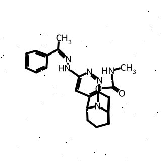 CNC(=O)ON1C2CCCC1c1cc(NN=C(C)c3ccccc3)nnc1C2